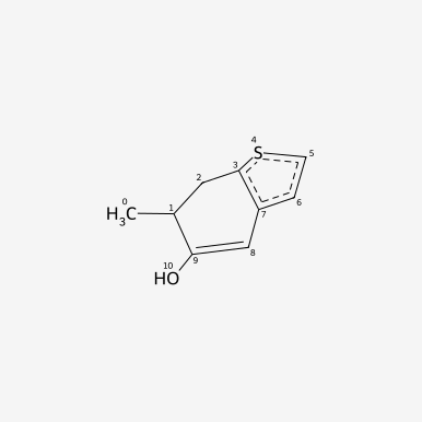 CC1Cc2sccc2C=C1O